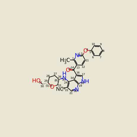 Cc1nc(Oc2ccccc2)ccc1C(=O)c1c[nH]c2ncc(C#N)c(N[C@@H]3CC[C@@H](CO)OC3)c12